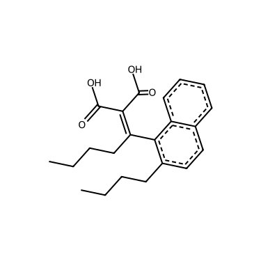 CCCCC(=C(C(=O)O)C(=O)O)c1c(CCCC)ccc2ccccc12